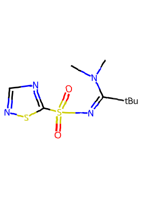 CN(C)C(=NS(=O)(=O)c1ncns1)C(C)(C)C